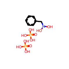 O=P(O)(O)O.O=P(O)(O)O.ON(O)Cc1ccccc1